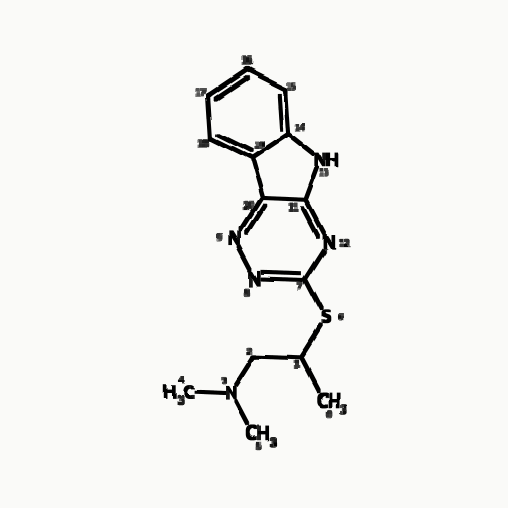 CC(CN(C)C)Sc1nnc2c(n1)[nH]c1ccccc12